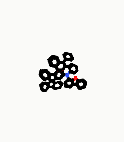 C1=CC2c3ccccc3C3(c4ccccc4-c4ccc(N(C5=CCCC=C5C5C=Cc6ccccc6C5c5ccccc5)c5cccc6c5oc5ccccc56)cc43)C2C=C1